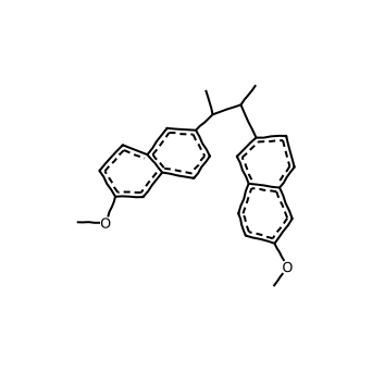 COc1ccc2cc(C(C)C(C)c3ccc4cc(OC)ccc4c3)ccc2c1